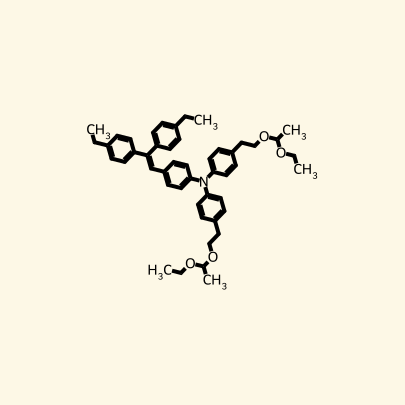 CCOC(C)OCCc1ccc(N(c2ccc(C=C(c3ccc(CC)cc3)c3ccc(CC)cc3)cc2)c2ccc(CCOC(C)OCC)cc2)cc1